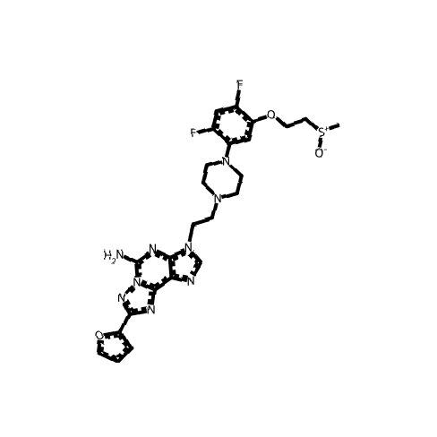 C[S+]([O-])CCOc1cc(N2CCN(CCn3cnc4c3nc(N)n3nc(-c5ccco5)nc43)CC2)c(F)cc1F